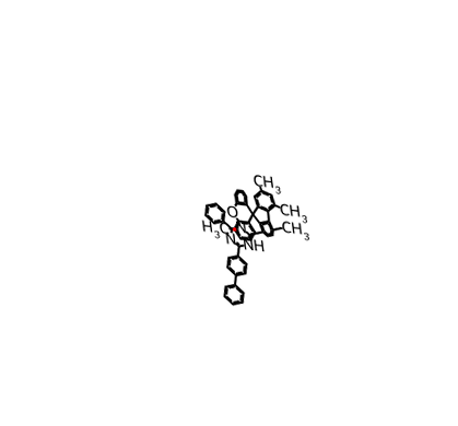 Cc1cc(C)c2c(c1)C1(c3ccccc3Oc3c(C)cccc31)c1c(C3N=C(c4ccccc4)N=C(c4ccc(-c5ccccc5)cc4)N3)ccc(C)c1-2